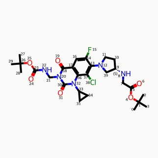 CC(C)(C)OC(=O)CN[C@H]1CCN(c2c(F)cc3c(=O)n(CNC(=O)OC(C)(C)C)c(=O)n(C4CC4)c3c2Cl)C1